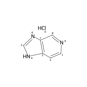 Cl.c1cc2[nH]cnc2cn1